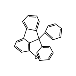 Brc1cccc2c1C(c1ccccc1)(c1ccccc1)c1ccccc1-2